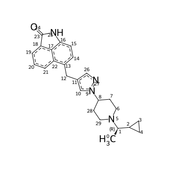 C[C@H](C1CC1)N1CCC(n2cc(Cc3ccc4c5c(cccc35)C(=O)N4)cn2)CC1